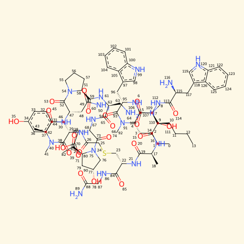 CCCC[C@@H](C(=O)N(C)[C@@H](CCCC)C(=O)N[C@@H](C)C(=O)N[C@@H](CSCC(=O)N[C@@H](Cc1ccc(O)cc1)C(=O)N(C)[C@@H](C)C(=O)N[C@@H](CC(N)=O)C(=O)N1CCC[C@H]1C(=O)N[C@@H](CN)C(=O)N[C@@H](CC(=O)O)C(=O)N1C[C@H](O)C[C@H]1C(C)=O)C(=O)NCC(N)=O)N(C)C(=O)[C@H](Cc1c[nH]c2ccccc12)NC(=O)[C@H](CO)NC(=O)[C@@H](N)Cc1c[nH]c2ccccc12